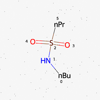 CCCCNS(=O)(=O)CCC